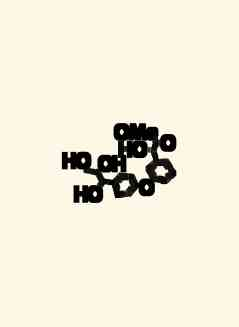 COC(=O)C(O)c1cccc(Oc2ccc(C(O)C(O)CO)cc2)c1